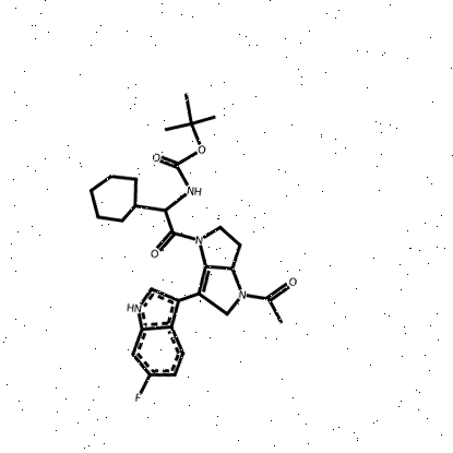 CC(=O)N1CC(c2c[nH]c3cc(F)ccc23)=C2C1CCN2C(=O)C(NC(=O)OC(C)(C)C)C1CCCCC1